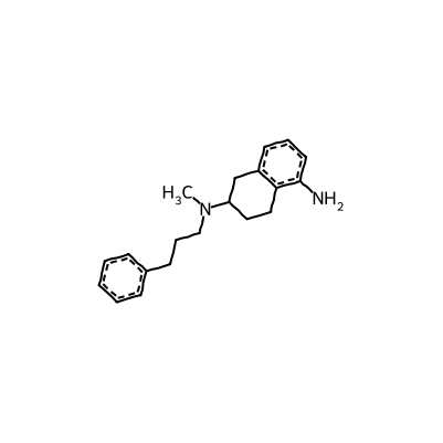 CN(CCCc1ccccc1)C1CCc2c(N)cccc2C1